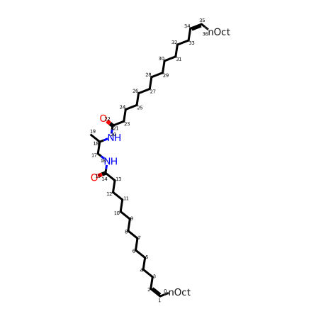 CCCCCCCC/C=C\CCCCCCCCCCCC(=O)NCC(C)NC(=O)CCCCCCCCCCC/C=C\CCCCCCCC